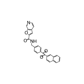 O=C(NCc1ccc(S(=O)(=O)c2ccc3ccccc3c2)cc1)c1cc2ccncc2o1